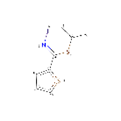 CC(C)S/C(=N\I)c1cccs1